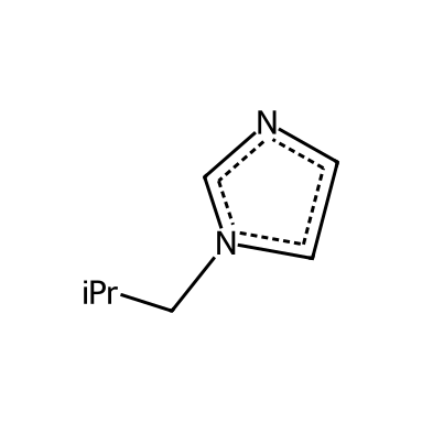 [CH2]C(C)Cn1ccnc1